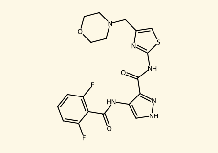 O=C(Nc1nc(CN2CCOCC2)cs1)c1n[nH]cc1NC(=O)c1c(F)cccc1F